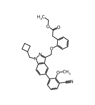 CCOC(=O)Cc1ccccc1OCc1nn(CC2CCC2)c2ccc(-c3cccc(C#N)c3OC)cc12